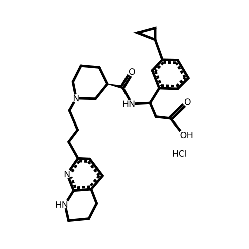 Cl.O=C(O)CC(NC(=O)[C@@H]1CCCN(CCCc2ccc3c(n2)NCCC3)C1)c1cccc(C2CC2)c1